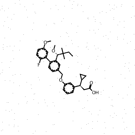 CCC(C)(C)[C@@H](OC)c1cc(COc2cccc([C@H](CC(=O)O)C3CC3)c2)ccc1-c1cc(OC)ccc1F